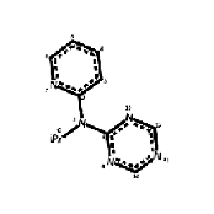 CC(C)N(c1ccccn1)c1ncncn1